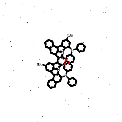 CC(C)(C)c1cc(N(c2ccccc2)c2ccccc2)c2c(c1)c1c3ccccc3cc3c4c5c6cc(C(C)(C)C)cc7c8c9ccccc9cc(N(c9ccccc9)c9ccccc9)c8n(c5cnc4n2c31)c67